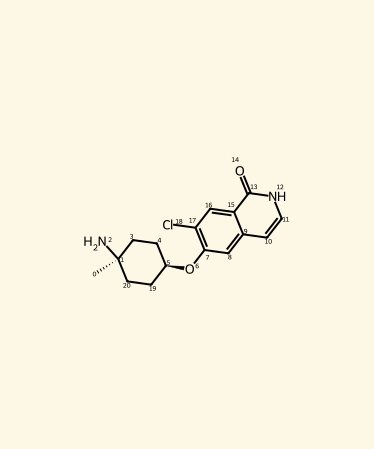 C[C@]1(N)CC[C@@H](Oc2cc3cc[nH]c(=O)c3cc2Cl)CC1